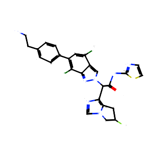 NCCc1ccc(-c2cc(Cl)c3cn(C(C(=O)Nc4nccs4)c4ncn5c4CC(F)C5)nc3c2Cl)cc1